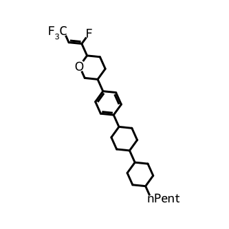 CCCCCC1CCC(C2CCC(c3ccc(C4CCC(/C(F)=C/C(F)(F)F)OC4)cc3)CC2)CC1